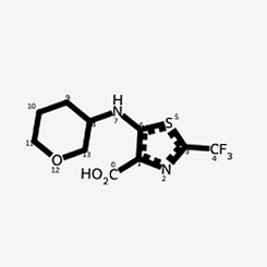 O=C(O)c1nc(C(F)(F)F)sc1NC1CCCOC1